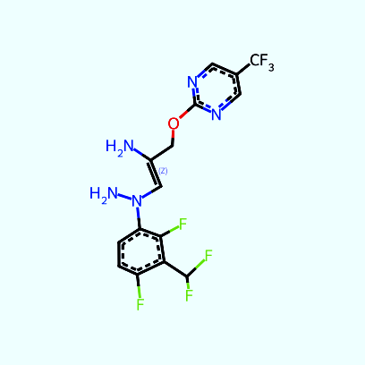 N/C(=C\N(N)c1ccc(F)c(C(F)F)c1F)COc1ncc(C(F)(F)F)cn1